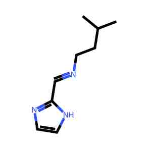 CC(C)CC/N=C/c1ncc[nH]1